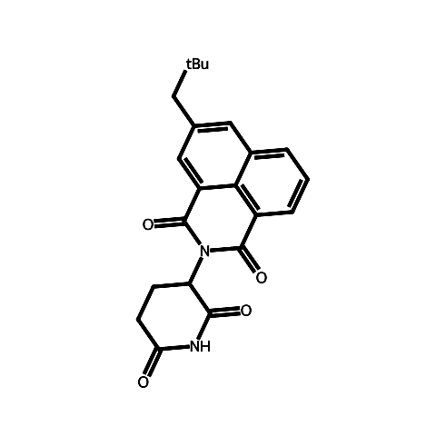 CC(C)(C)Cc1cc2c3c(cccc3c1)C(=O)N(C1CCC(=O)NC1=O)C2=O